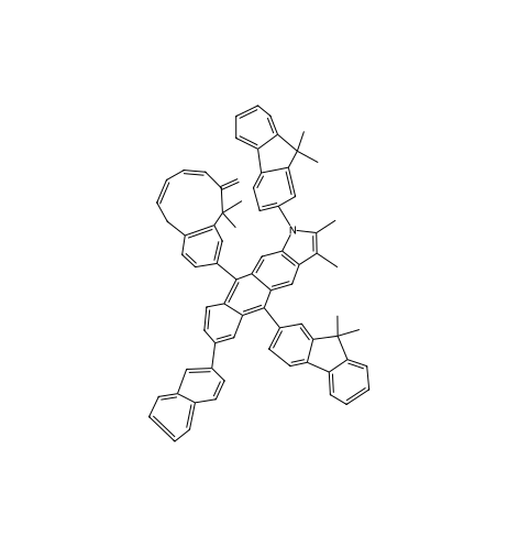 C=C1/C=C\C=C/Cc2ccc(-c3c4ccc(-c5ccc6ccccc6c5)cc4c(-c4ccc5c(c4)C(C)(C)c4ccccc4-5)c4cc5c(C)c(C)n(-c6ccc7c(c6)C(C)(C)c6ccccc6-7)c5cc34)cc2C1(C)C